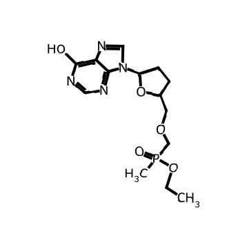 CCOP(C)(=O)COCC1CCC(n2cnc3c(O)ncnc32)O1